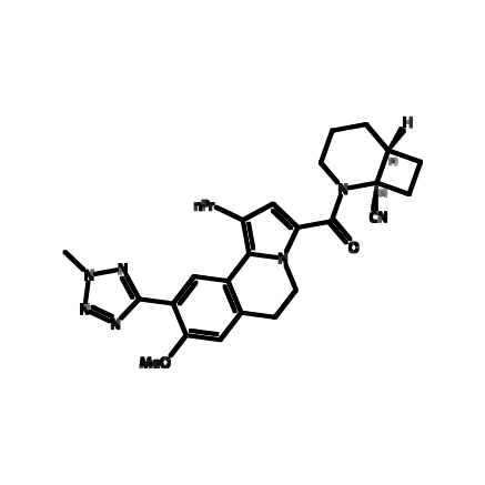 CCCc1cc(C(=O)N2CCC[C@@H]3CC[C@@]32C#N)n2c1-c1cc(-c3nnn(C)n3)c(OC)cc1CC2